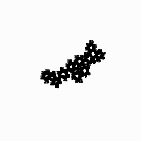 c1ccc(C2(c3ccccc3)c3cc(-c4ccc(-c5cccc6c5sc5ccccc56)cc4)ccc3-c3ccc(-c4cnc5c6ccccc6c6ccccc6c5n4)cc32)cc1